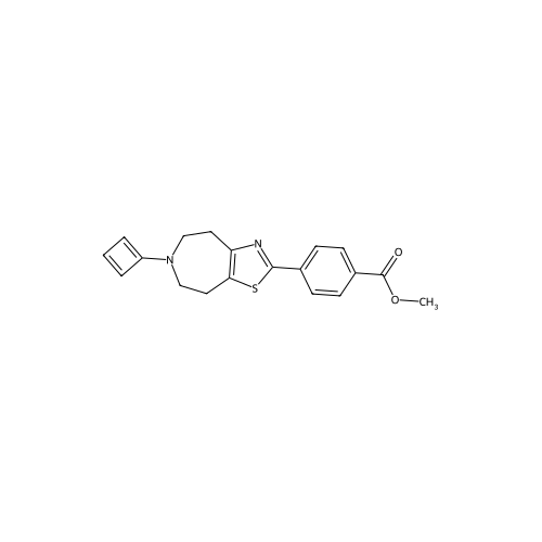 COC(=O)c1ccc(-c2nc3c(s2)CCN(C2=CC=C2)CC3)cc1